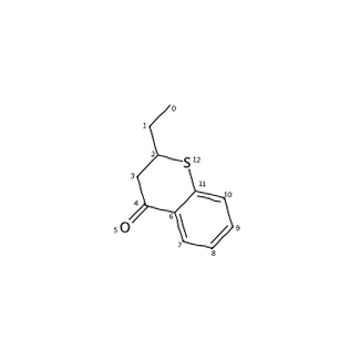 CCC1CC(=O)c2ccccc2S1